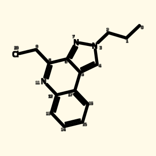 CCCn1cc2c(n1)c(CCl)nc1ccccc12